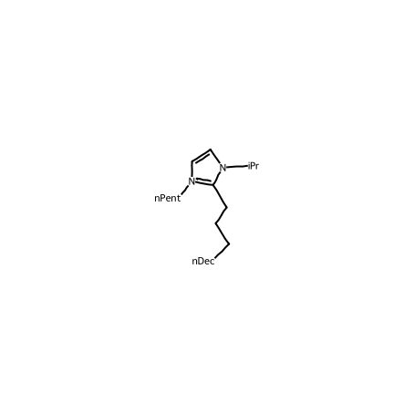 CCCCCCCCCCCCCc1n(C(C)C)cc[n+]1CCCCC